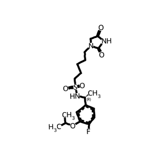 CC(C)Oc1cc([C@@H](C)NS(=O)(=O)CCCCCN2CC(=O)NC2=O)ccc1F